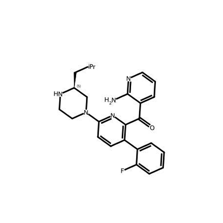 CC(C)C[C@H]1CN(c2ccc(-c3ccccc3F)c(C(=O)c3cccnc3N)n2)CCN1